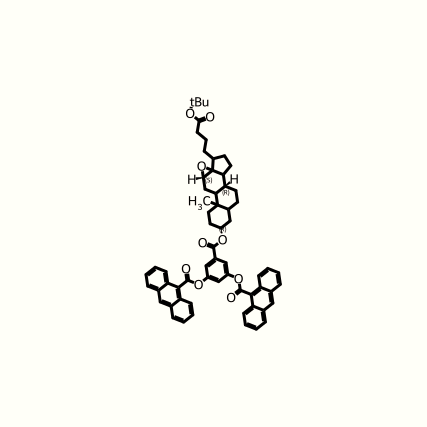 CC(C)(C)OC(=O)CCCC1CCC2[C@@H]3CCC4C[C@H](OC(=O)c5cc(OC(=O)c6c7ccccc7cc7ccccc67)cc(OC(=O)c6c7ccccc7cc7ccccc67)c5)CCC4(C)C3C[C@@H]3OC123